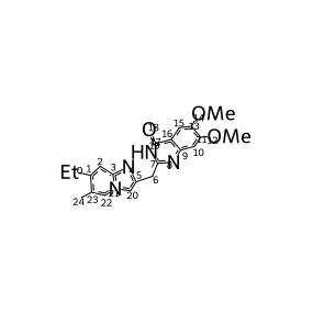 CCc1cc2nc(Cc3nc4cc(OC)c(OC)cc4c(=O)[nH]3)cn2cc1C